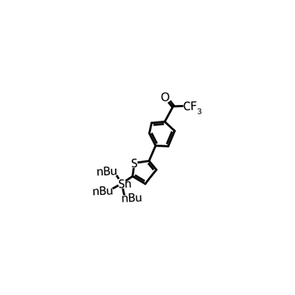 CCC[CH2][Sn]([CH2]CCC)([CH2]CCC)[c]1ccc(-c2ccc(C(=O)C(F)(F)F)cc2)s1